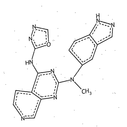 CN(c1ccc2[nH]ncc2c1)c1nc(Nc2nnco2)c2ccncc2n1